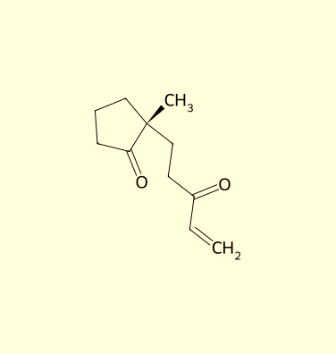 C=CC(=O)CC[C@@]1(C)CCCC1=O